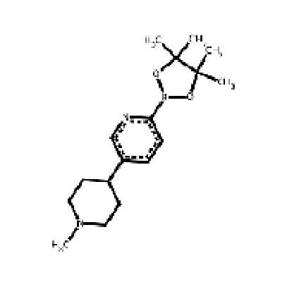 CN1CCC(c2ccc(B3OC(C)(C)C(C)(C)O3)nc2)CC1